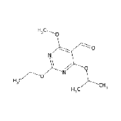 CCOc1nc(OC)c(C=O)c(OC(C)C)n1